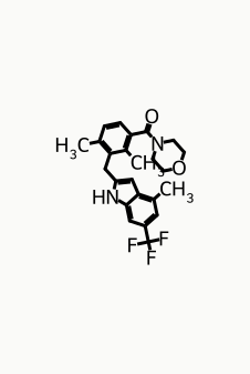 Cc1ccc(C(=O)N2CCOCC2)c(C)c1Cc1cc2c(C)cc(C(F)(F)F)cc2[nH]1